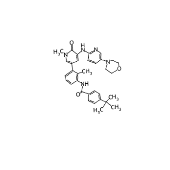 Cc1c(NC(=O)c2ccc(C(C)(C)C)cc2)cccc1-c1cc(Nc2ccc(N3CCOCC3)cn2)c(=O)n(C)c1